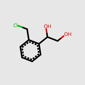 OCC(O)c1ccccc1CCl